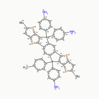 Cc1ccc(C2(c3ccc(N)cc3)c3cc4c(cc3-c3sc5cc(C(C)(C)C)sc5c32)C(c2ccc(N)cc2)(c2ccc(N)cc2)c2c-4sc3cc(C(C)(C)C)sc23)cc1